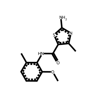 COc1cccc(C)c1NC(=O)c1sc(N)nc1C